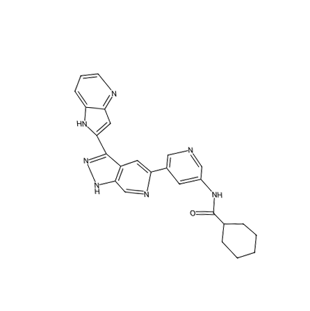 O=C(Nc1cncc(-c2cc3c(-c4cc5ncccc5[nH]4)n[nH]c3cn2)c1)C1CCCCC1